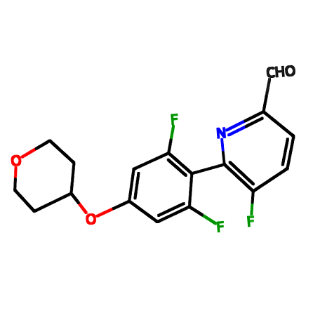 O=Cc1ccc(F)c(-c2c(F)cc(OC3CCOCC3)cc2F)n1